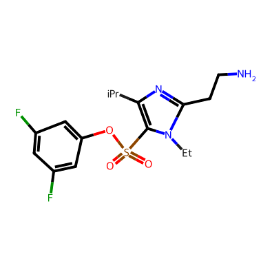 CCn1c(CCN)nc(C(C)C)c1S(=O)(=O)Oc1cc(F)cc(F)c1